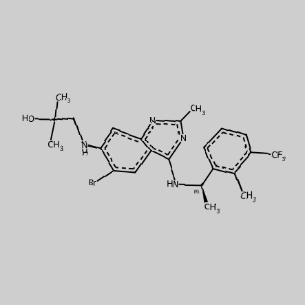 Cc1nc(N[C@H](C)c2cccc(C(F)(F)F)c2C)c2cc(Br)c(NCC(C)(C)O)cc2n1